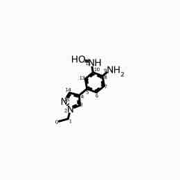 CCn1cc(-c2ccc(N)c(NO)c2)cn1